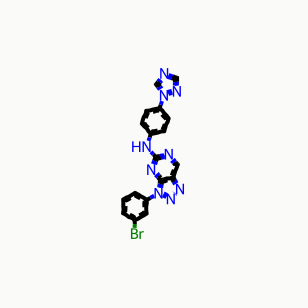 Brc1cccc(-n2nnc3cnc(Nc4ccc(-n5cncn5)cc4)nc32)c1